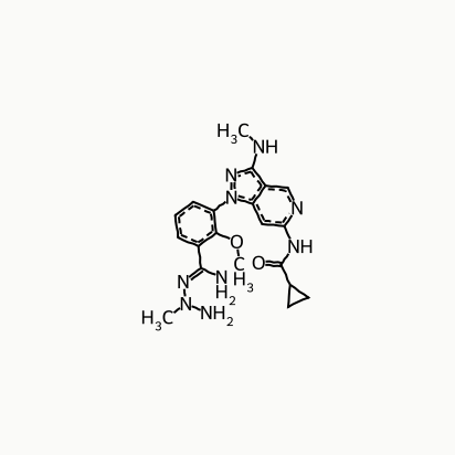 CNc1nn(-c2cccc(/C(N)=N/N(C)N)c2OC)c2cc(NC(=O)C3CC3)ncc12